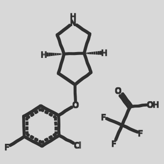 Fc1ccc(OC2C[C@H]3CNC[C@H]3C2)c(Cl)c1.O=C(O)C(F)(F)F